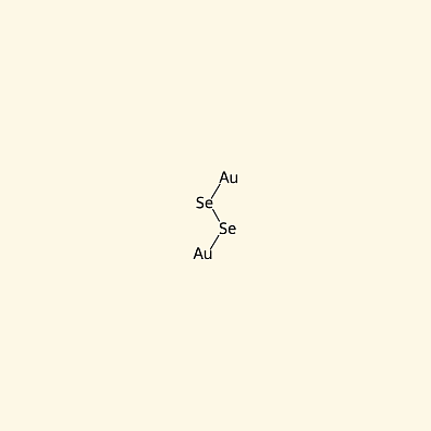 [Au][Se][Se][Au]